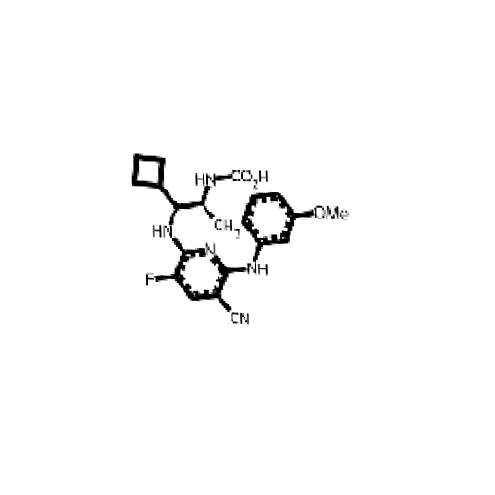 COc1cccc(Nc2nc(N[C@@H](C3CCC3)[C@H](C)NC(=O)O)c(F)cc2C#N)c1